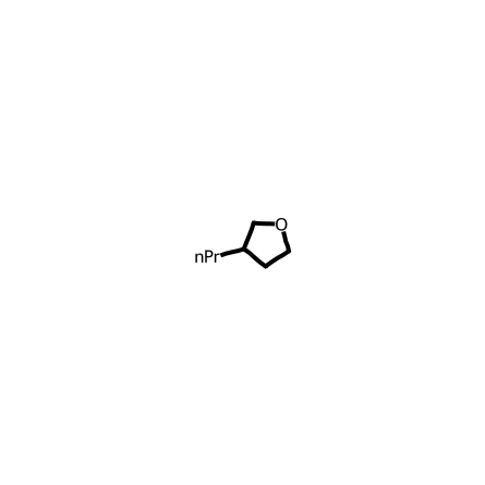 CCCC1CCOC1